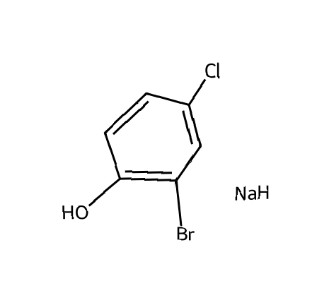 Oc1ccc(Cl)cc1Br.[NaH]